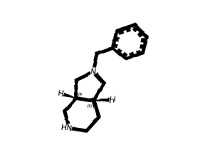 c1ccc(CN2C[C@H]3CNCC[C@H]3C2)cc1